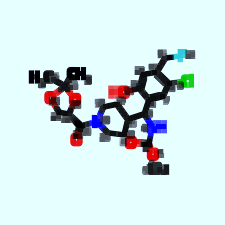 CC(C)(C)OC(=O)NC(c1cc(Cl)c(CF)cc1O)C1CCN(C(=O)[C@H]2COC(C)(C)O2)CC1